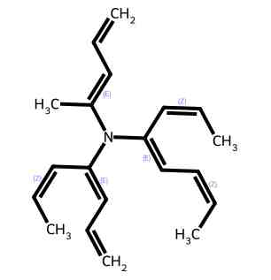 C=C/C=C(\C)N(C(/C=C\C)=C/C=C)C(/C=C\C)=C/C=C\C